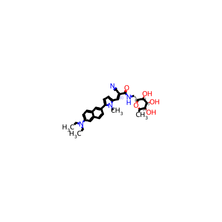 CCN(CC)c1ccc2cc(-c3ccc(/C=C(\C#N)C(=O)NC[C@H]4OC(C)[C@H](O)[C@@H](O)[C@@H]4O)n3C)ccc2c1